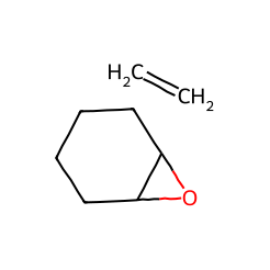 C1CCC2OC2C1.C=C